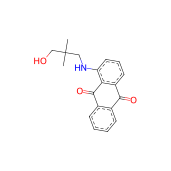 CC(C)(CO)CNc1cccc2c1C(=O)c1ccccc1C2=O